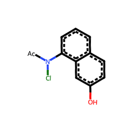 CC(=O)N(Cl)c1cccc2ccc(O)cc12